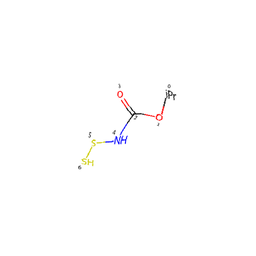 CC(C)OC(=O)NSS